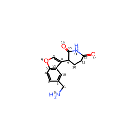 NCc1ccc2occ(C3CCC(=O)NC3=O)c2c1